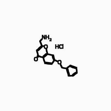 Cl.NCc1cc(=O)c2ccc(OCc3ccccc3)cc2o1